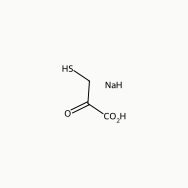 O=C(O)C(=O)CS.[NaH]